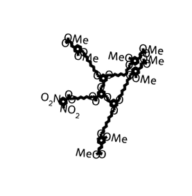 COC(=O)/C=C/c1ccc(OCCCCCCCCOc2cc(COc3cc(OCc4cc(OCCCCCCCCOc5ccc(/C=C/C(=O)OC)cc5OC)cc(OCCCCCCCCOc5ccc(/C=C/C(=O)OC)cc5OC)c4)cc(C(=O)OCCCCCCOC(=O)c4cc([N+](=O)[O-])cc([N+](=O)[O-])c4)c3)cc(OCCCCCCCCOc3ccc(/C=C/C(=O)OC)cc3OC)c2)c(OC)c1